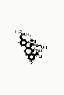 CN(C)Cc1ccc(C2C=Nc3cc(F)cc4c(=O)[nH]nc(c34)C2c2ncnn2CCO)cc1